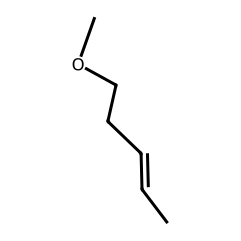 CC=CCCOC